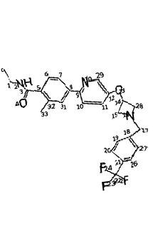 CCNC(=O)c1ccc(-c2ccc(OC3CN(Cc4ccc(C(F)(F)F)cc4)C3)cn2)cc1C